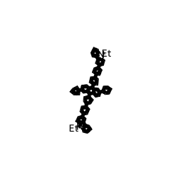 CCn1c2ccccc2c2cc(-c3ccc(-c4ccc(-c5c6ccc(-c7ccccc7)cc6c(-c6ccc(-c7ccc(-c8ccc9c(c8)c8ccccc8n9CC)cc7)cc6)c6ccc(-c7ccccc7)cc56)cc4)cc3)ccc21